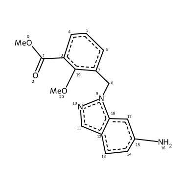 COC(=O)c1cccc(Cn2ncc3ccc(N)cc32)c1OC